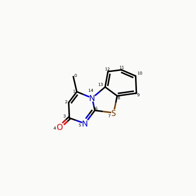 Cc1cc(=O)nc2sc3ccccc3n12